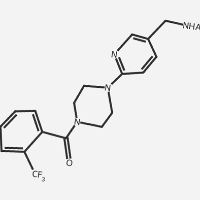 CC(=O)NCc1ccc(N2CCN(C(=O)c3ccccc3C(F)(F)F)CC2)nc1